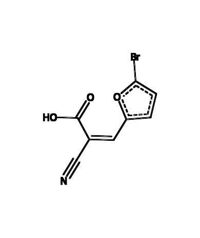 N#CC(=Cc1ccc(Br)o1)C(=O)O